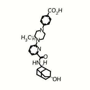 C[C@@H]1CN(c2ccc(C(=O)O)cc2)CCN1c1cccc(C(=O)N[C@H]2C3CC4CC2C[C@](O)(C4)C3)n1